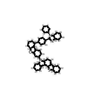 c1ccc(-n2c(-c3ccc(-c4cccc5oc6cc(-n7c8ccccc8c8c9sc%10ccccc%10c9ccc87)ccc6c45)cc3)nc3ccccc32)cc1